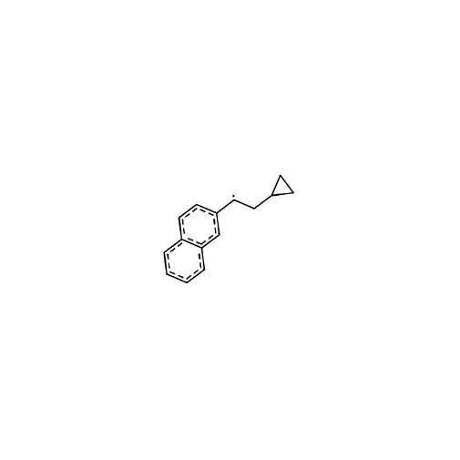 [CH](CC1CC1)c1ccc2ccccc2c1